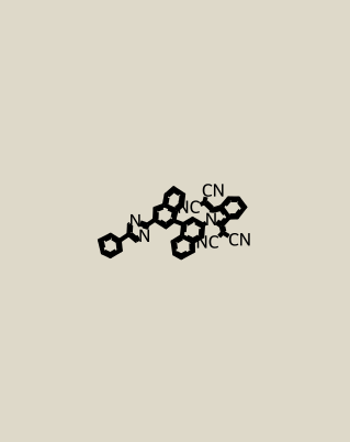 N#CC(C#N)=c1c2ccccc2c(=C(C#N)C#N)n1-c1cc(-c2cc(-c3ncc(-c4ccccc4)cn3)cc3ccccc23)c2ccccc2c1